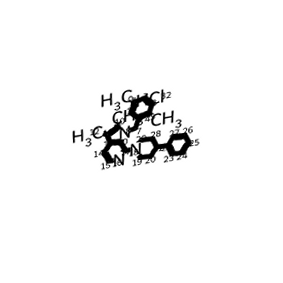 Cc1ccc(C)c(Cn2c(C)c(C)c3ccnc(N4CCC(c5ccccc5)CC4)c32)c1.Cl